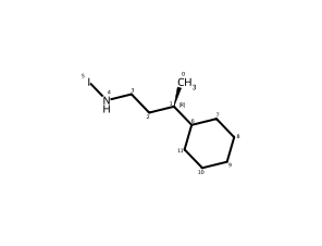 C[C@H](CCNI)C1CCCCC1